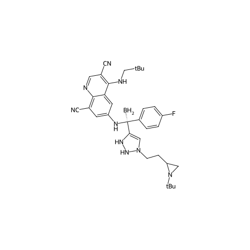 B[C@@](Nc1cc(C#N)c2ncc(C#N)c(NCC(C)(C)C)c2c1)(C1=CN(CCC2CN2C(C)(C)C)NN1)c1ccc(F)cc1